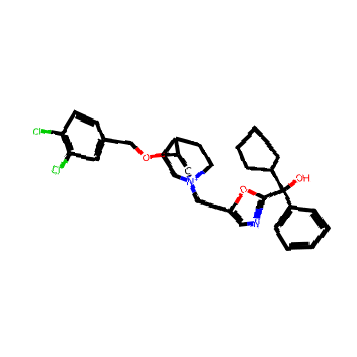 OC(c1ccccc1)(c1ncc(C[N+]23CCC(CC2)C(OCc2ccc(Cl)c(Cl)c2)C3)o1)C1CCCC1